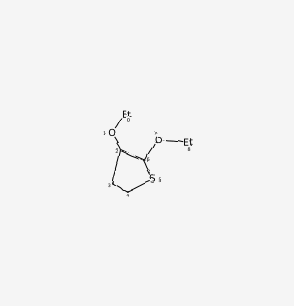 CCOC1CCSC1OCC